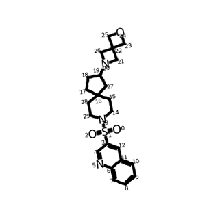 O=S(=O)(c1cnc2ccccc2c1)N1CCC2(CCC(N3CC4(COC4)C3)C2)CC1